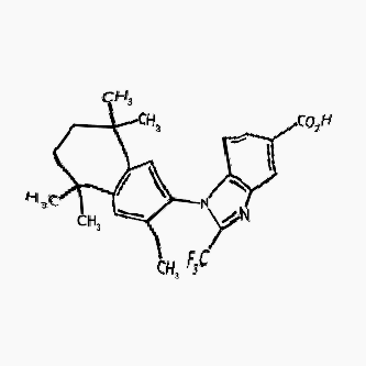 Cc1cc2c(cc1-n1c(C(F)(F)F)nc3cc(C(=O)O)ccc31)C(C)(C)CCC2(C)C